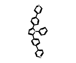 c1ccc(-n2c(-c3ccc(-c4ccncc4)cc3)ccc2-c2ccc(-c3ccncc3)cc2)cc1